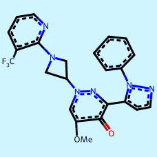 COc1cn(C2CN(c3ncccc3C(F)(F)F)C2)nc(-c2ccnn2-c2ccccc2)c1=O